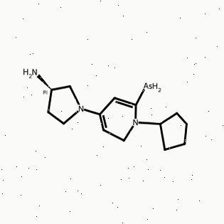 N[C@@H]1CCN(C2=CCN(C3CCCC3)C([AsH2])=C2)C1